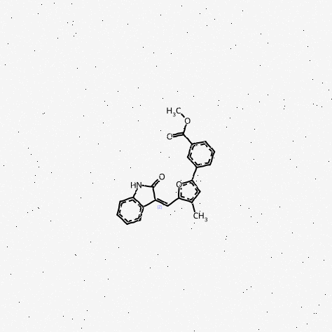 COC(=O)c1cccc(-c2cc(C)c(/C=C3\C(=O)Nc4ccccc43)o2)c1